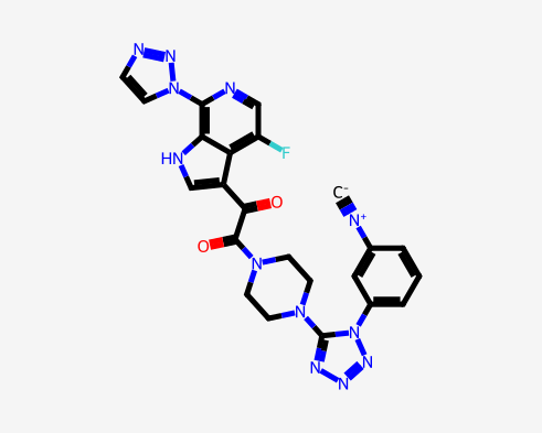 [C-]#[N+]c1cccc(-n2nnnc2N2CCN(C(=O)C(=O)c3c[nH]c4c(-n5ccnn5)ncc(F)c34)CC2)c1